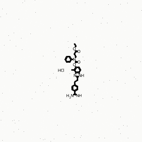 CCOC(=O)CCN(C(=O)Oc1ccc2[nH]c(CCc3ccc(C(=N)N)cc3)nc2c1C)c1ccccc1.Cl